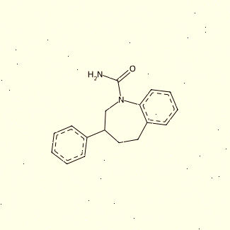 NC(=O)N1CC(c2ccccc2)CCc2ccccc21